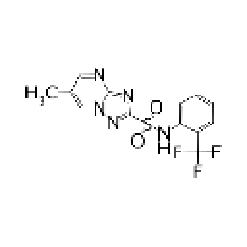 Cc1cnc2nc(S(=O)(=O)Nc3ccccc3C(F)(F)F)nn2c1